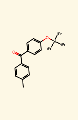 Cc1ccc(C(=O)c2ccc(O[Si](C(C)C)(C(C)C)C(C)C)cc2)cc1